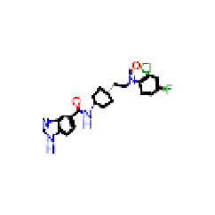 O=CN(CC[C@H]1CC[C@@H](NC(=O)c2ccc3[nH]cnc3c2)CC1)c1ccc(F)cc1Cl